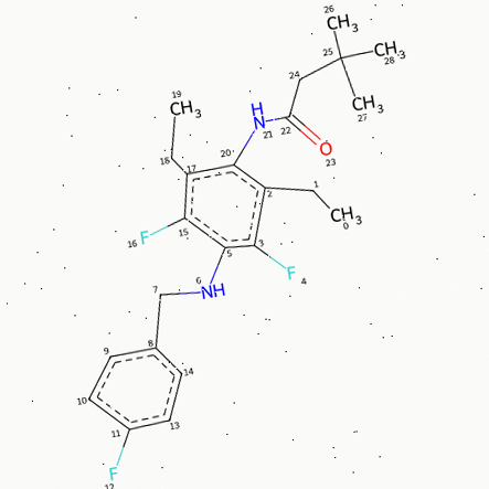 CCc1c(F)c(NCc2ccc(F)cc2)c(F)c(CC)c1NC(=O)CC(C)(C)C